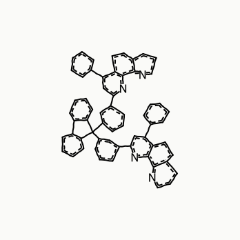 c1ccc(-c2cc(-c3cccc(C4(c5cccc(-c6cc(-c7ccccc7)c7ccc8cccnc8c7n6)c5)c5ccccc5-c5ccccc54)c3)nc3c2ccc2cccnc23)cc1